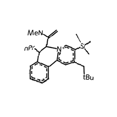 C=C(NC)C1C(CCC)c2ccccc2-c2cc(CC(C)(C)C)c([Si](C)(C)C)c[n+]21